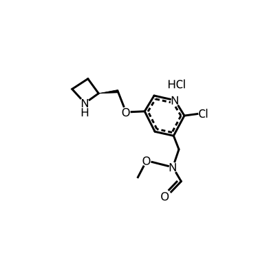 CON(C=O)Cc1cc(OC[C@@H]2CCN2)cnc1Cl.Cl